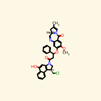 COc1cc2c(cc1OC(CC(=O)N1C[C@@H](CCl)c3c1cc(O)c1ccccc31)c1ccccc1)N=C[C@@H]1CC(C)=CN1C2=O